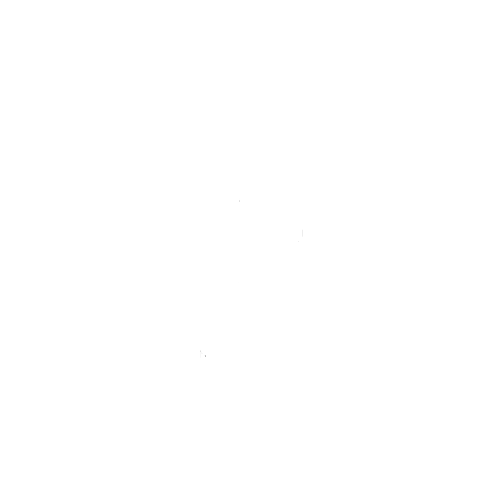 O=C(O)C(C(=O)c1ccccc1)c1ccc2c(c1)CNC2